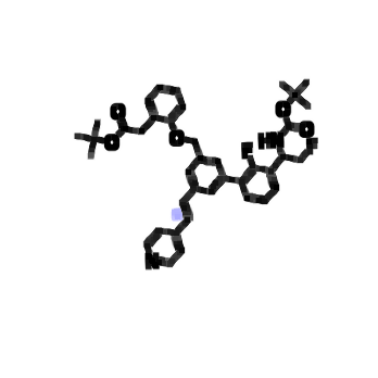 CC(C)(C)OC(=O)Cc1ccccc1OCc1cc(/C=C/c2ccncc2)cc(-c2cccc(C(CF)NC(=O)OC(C)(C)C)c2F)c1